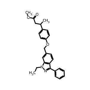 CCn1nc(-c2ccccc2)c2ccc(COc3ccc(C(C)CC(=O)OC)cc3)cc21